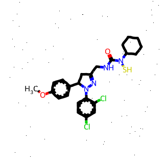 COc1ccc(C2CC(CNC(=O)N(S)C3CCCCC3)=NN2c2ccc(Cl)cc2Cl)cc1